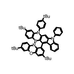 CC(C)(C)c1ccc(N2c3cc(C(C)(C)C)ccc3B3c4c2cc2c(c4-c4cc(C(C)(C)C)cc5c4N3c3ccc(C(C)(C)C)cc3O5)c3ccccc3n2-c2ccccc2)cc1